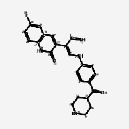 N=N/C(=C\Nc1ccc(C(=O)C2CCNCC2)cc1)c1cc2cc(F)ccc2[nH]c1=O